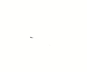 CSC1CC(C)N(C)C2O[C@H]12